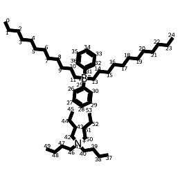 CCCCCCCCCCCC[B-](CCCCCCCCCCCC)(c1ccccc1)c1ccccc1.CCCC[N+](CCCC)(CCCC)CCCC